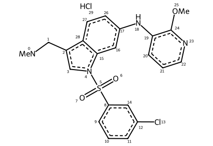 CNCc1cn(S(=O)(=O)c2cccc(Cl)c2)c2cc(Nc3cccnc3OC)ccc12.Cl